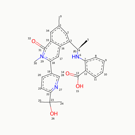 Cc1cc([C@@H](C)Nc2ccccc2C(=O)O)c2cc(-c3ccc(C(C)(C)O)nc3)n(C)c(=O)c2c1